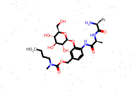 CC(C)[C@H](N)C(=O)N[C@@H](C)C(=O)Nc1ccc(COC(=O)N(C)CCCC(=O)O)cc1O[C@@H]1O[C@H](CO)[C@@H](O)[C@H](O)[C@H]1O